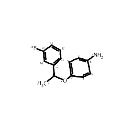 CC(Oc1ccc(N)cc1)c1cccc(F)c1